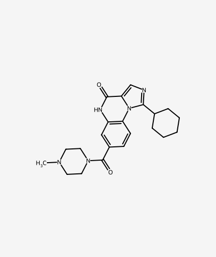 CN1CCN(C(=O)c2ccc3c(c2)[nH]c(=O)c2cnc(C4CCCCC4)n23)CC1